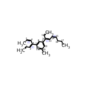 C=C/C=C(\C=C/C)c1cc(/C(C=C)=C/C=C\CCC)cc(C)n1